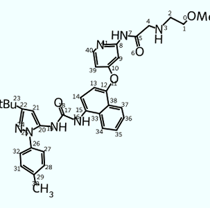 COCCNCC(=O)Nc1cc(Oc2ccc(NC(=O)Nc3cc(C(C)(C)C)nn3-c3ccc(C)cc3)c3ccccc23)ccn1